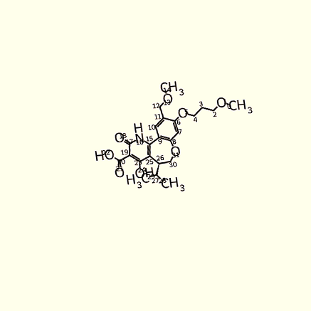 COCCCOc1cc2c(cc1COC)-c1[nH]c(=O)c(C(=O)O)c(O)c1[C@H](C(C)C)CO2